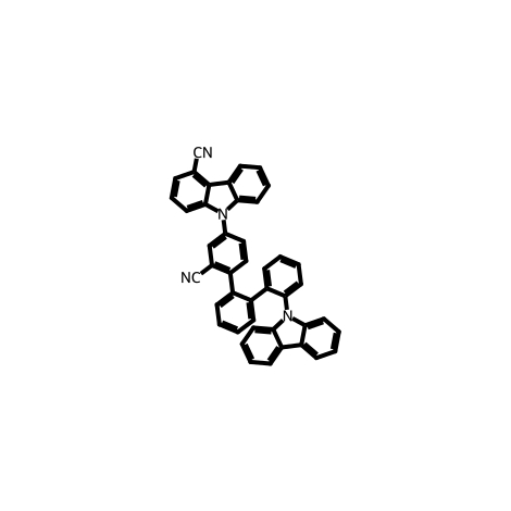 N#Cc1cc(-n2c3ccccc3c3c(C#N)cccc32)ccc1-c1ccccc1-c1ccccc1-n1c2ccccc2c2ccccc21